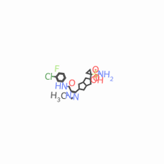 Cn1cnc(C2CC3CC(O)(C4(S(N)(=O)=O)CC4)CC3C2)c1C(=O)Nc1ccc(F)c(Cl)c1